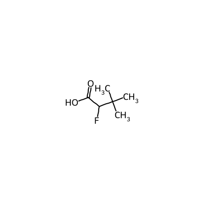 CC(C)(C)C(F)C(=O)O